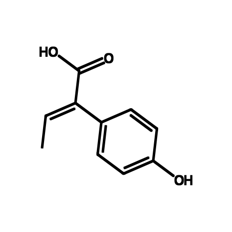 C/C=C(/C(=O)O)c1ccc(O)cc1